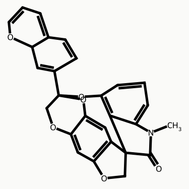 CN1C(=O)C23COc4cc5c(cc42)OC(C2=CC4OC=CC=C4C=C2)(CO5)Oc2cccc1c23